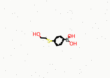 OCCSc1ccc(B(O)O)cc1